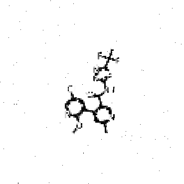 COc1ncc(Cl)cc1-c1cc(C)ncc1C(=O)Nc1nnc(C(C)(F)F)s1